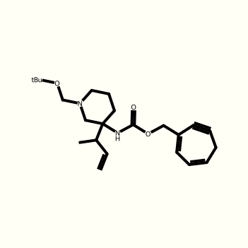 C=CC(C)C1(NC(=O)OCC2=CC=CCC#C2)CCCN(COC(C)(C)C)C1